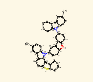 N#Cc1ccc2c(c1)c1ccccc1n2-c1ccc2oc3ccc(-n4c5ccc(C#N)cc5c5ccc6sc7ccccc7c6c54)cc3c2c1